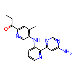 CCC(=O)c1cc(C)c(Nc2cccnc2-c2cc(N)ncn2)cn1